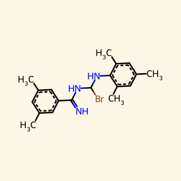 Cc1cc(C)cc(C(=N)NC(Br)Nc2c(C)cc(C)cc2C)c1